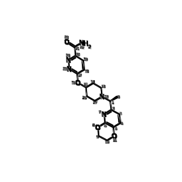 C[C@@H](c1ccc2c(n1)OCCO2)N1CCC(Oc2ccc(C(N)=O)nn2)CC1